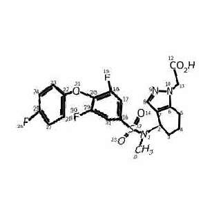 CN([C@@H]1CCCc2c1cnn2CC(=O)O)S(=O)(=O)c1cc(F)c(Oc2ccc(F)cc2)c(F)c1